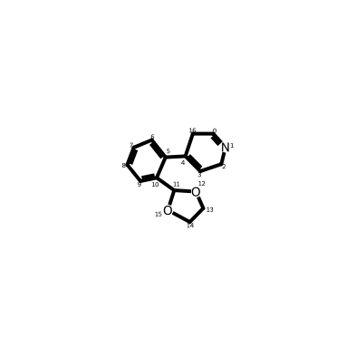 C1=NCC=C(c2ccccc2C2OCCO2)C1